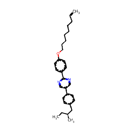 C=CCCCCCCCOc1ccc(-c2ncc(-c3ccc(C[C@@H](C)CC)cc3)cn2)cc1